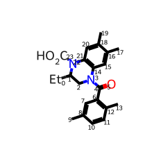 CCC1CN(C(=O)c2cc(C)ccc2C)c2cc(C)c(C)cc2N1C(=O)O